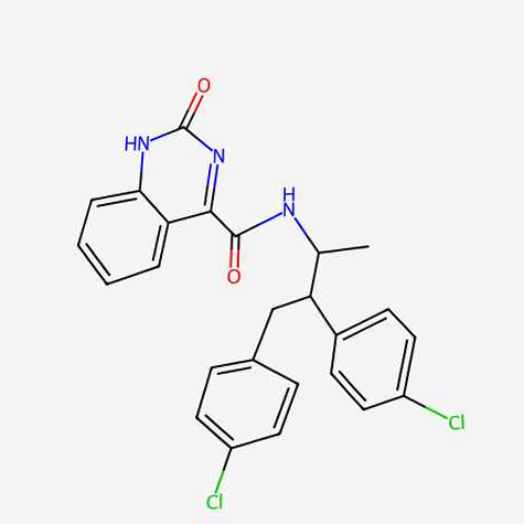 CC(NC(=O)c1nc(=O)[nH]c2ccccc12)C(Cc1ccc(Cl)cc1)c1ccc(Cl)cc1